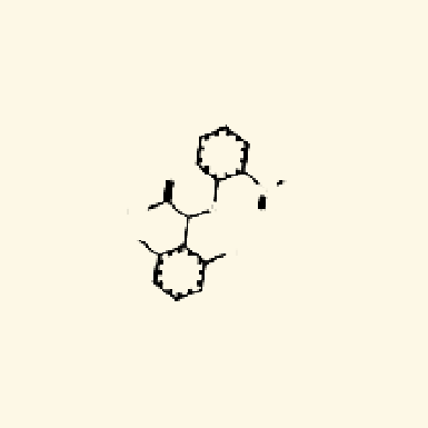 O=C(O)C(Nc1ccccc1[N+](=O)[O-])c1c(Cl)cccc1Cl